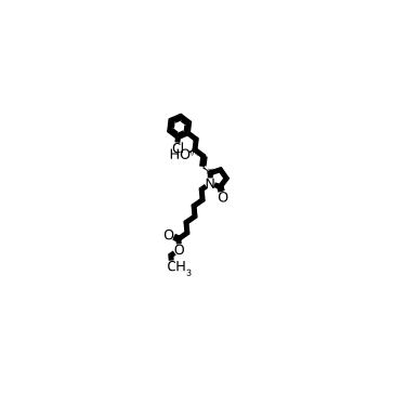 CCOC(=O)CCCCCCN1C(=O)CC[C@H]1C=C[C@H](O)Cc1ccccc1Cl